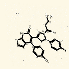 Cc1ccc([C@H]2CC(c3c(-c4ccc(Cl)cc4)c4ccsc4[nH]c3=O)=NN2C(=O)CCC(=O)O)cc1